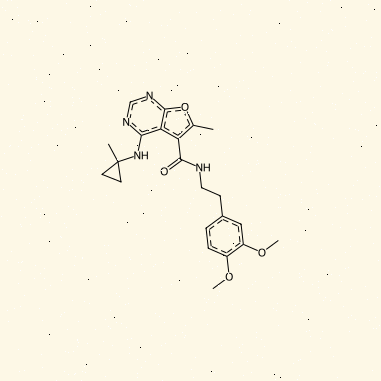 COc1ccc(CCNC(=O)c2c(C)oc3ncnc(NC4(C)CC4)c23)cc1OC